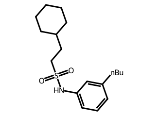 CCCCc1cccc(NS(=O)(=O)CCC2CCCCC2)c1